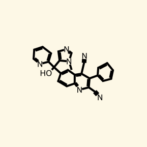 Cn1cncc1C(O)(c1ccc2nc(C#N)c(-c3ccccc3)c(C#N)c2c1)c1ccccn1